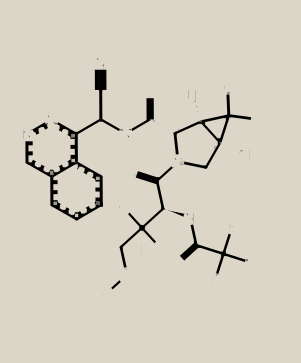 COCC(C)(C)[C@H](NC(=O)C(F)(F)F)C(=O)N1C[C@H]2[C@@H]([C@H]1C(=O)NC(C#N)c1nncc3ccccc13)C2(C)C